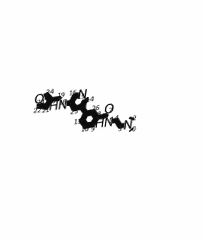 CN(C)CCNC(=O)c1cccc(-c2cncc(NCc3ccoc3)c2)c1